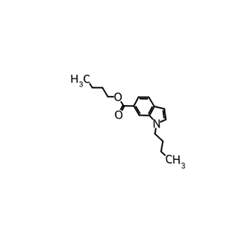 CCCCOC(=O)c1ccc2ccn(CCCC)c2c1